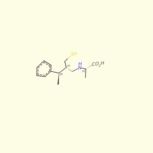 C[C@H](NC[C@@H](CS)[C@@H](C)c1ccccc1)C(=O)O